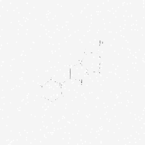 Brc1ccc2nc(N3CCOCC3)oc2n1